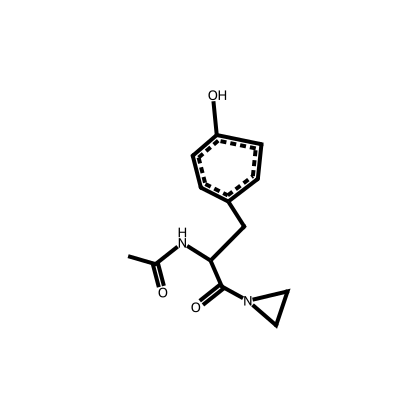 CC(=O)NC(Cc1ccc(O)cc1)C(=O)N1CC1